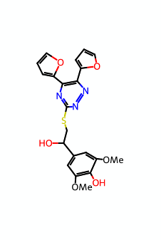 COc1cc(C(O)CSc2nnc(-c3ccco3)c(-c3ccco3)n2)cc(OC)c1O